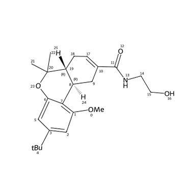 COc1cc(C(C)(C)C)cc2c1[C@@H]1CC(C(=O)NCCO)=CC[C@H]1C(C)(C)O2